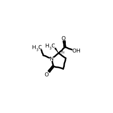 CCN1C(=O)CC[C@@]1(C)C(=O)O